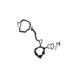 O=C(O)c1ccccc1OCCN1CCOCC1